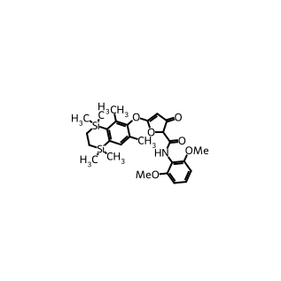 COc1cccc(OC)c1NC(=O)C1OC(Oc2c(C)cc3c(c2C)[Si](C)(C)CC[Si]3(C)C)=CC1=O